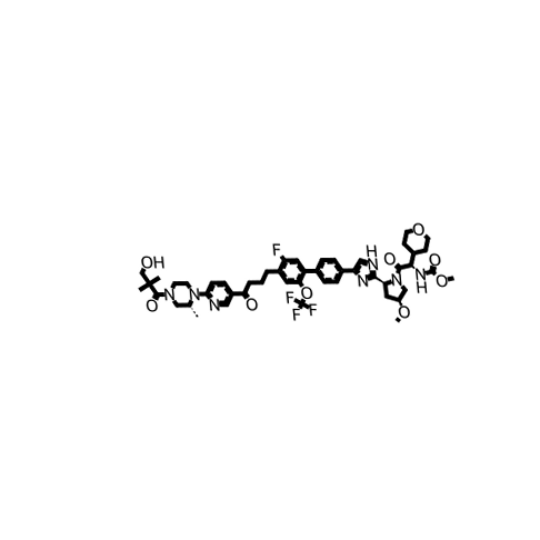 COC(=O)N[C@H](C(=O)N1C[C@@H](OC)C[C@H]1c1nc(-c2ccc(-c3cc(F)c(CCCC(=O)c4ccc(N5CCN(C(=O)C(C)(C)CO)C[C@H]5C)nc4)cc3OC(F)(F)F)cc2)c[nH]1)C1CCOCC1